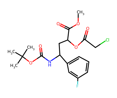 COC(=O)C(CC(NC(=O)OC(C)(C)C)c1cccc(F)c1)OC(=O)CCl